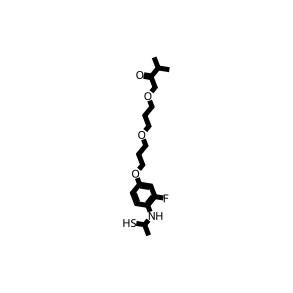 CC(S)Nc1ccc(OCCCOCCCOCC(=O)C(C)C)cc1F